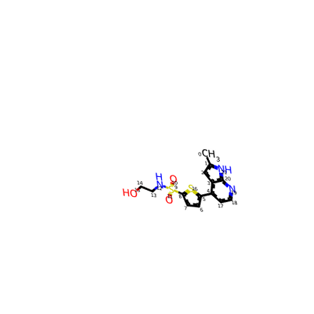 Cc1cc2c(-c3ccc(S(=O)(=O)NCCO)s3)ccnc2[nH]1